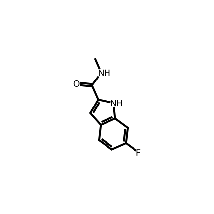 CNC(=O)c1cc2ccc(F)cc2[nH]1